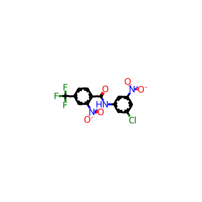 O=C(Nc1cc(Cl)cc([N+](=O)[O-])c1)c1ccc(C(F)(F)F)cc1[N+](=O)[O-]